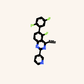 CNc1nc(-c2cccnc2)nc2ccc(-c3cc(F)ccc3F)c(F)c12